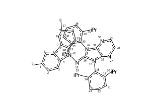 Cc1ccc2c(c1)c1cc(C)ccc1n2N=c1n(-c2c(C(C)C)cccc2C(C)C)c2nccnc2n1-c1c(C(C)C)cccc1C(C)C